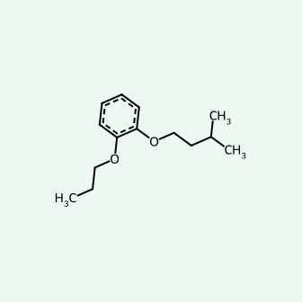 CCCOc1ccccc1OCCC(C)C